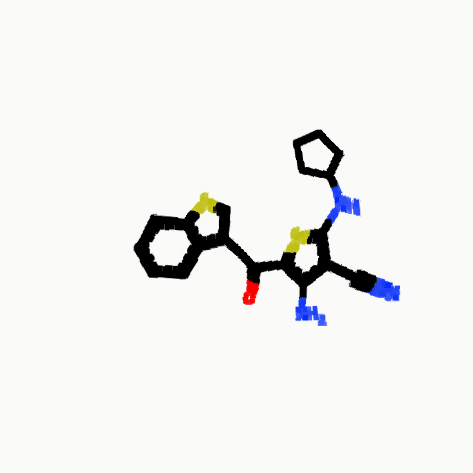 N#Cc1c(NC2CCCC2)sc(C(=O)c2csc3ccccc23)c1N